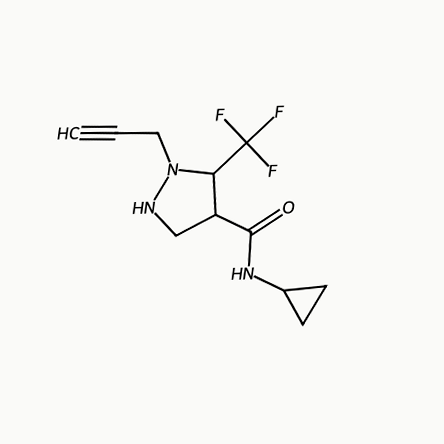 C#CCN1NCC(C(=O)NC2CC2)C1C(F)(F)F